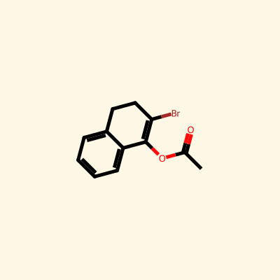 CC(=O)OC1=C(Br)CCc2ccccc21